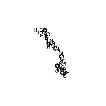 Cc1cccc(C(=O)NC2CC(n3cnc4c(NC5CCN(CCOC6CCN(C(=O)CNc7cccc8c7C(=O)N([C@H]7CCC(=O)NC7=O)C8=O)CC6)CC5)ncnc43)C2)n1